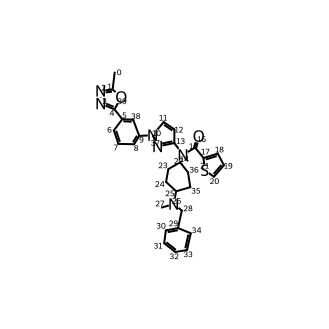 Cc1nnc(-c2cccc(-n3ccc(N(C(=O)c4cccs4)C4CCC(N(C)Cc5ccccc5)CC4)n3)c2)o1